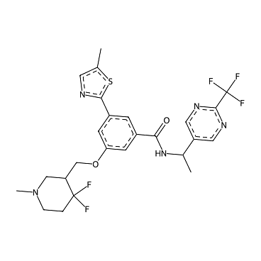 Cc1cnc(-c2cc(OCC3CN(C)CCC3(F)F)cc(C(=O)NC(C)c3cnc(C(F)(F)F)nc3)c2)s1